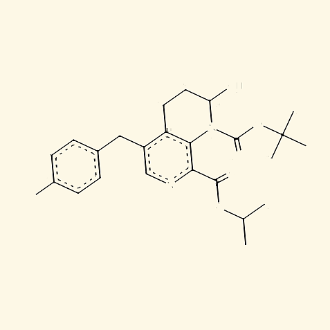 CC(C)OC(=O)c1ncc(Cc2ccc(F)cc2)c2c1N(C(=O)OC(C)(C)C)C(O)CC2